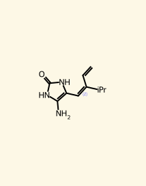 C=C/C(=C\c1[nH]c(=O)[nH]c1N)C(C)C